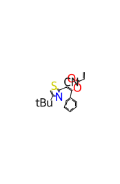 C=CC(=O)O/C(=C(\C#N)c1nc(C(C)(C)C)cs1)c1ccccc1